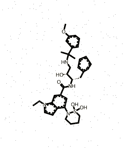 CCn1ccc2c(N3CCCCS3(O)O)cc(C(=O)N[C@@H](Cc3ccccc3)[C@H](O)CNC(C)(C)c3cccc(OC)c3)cc21